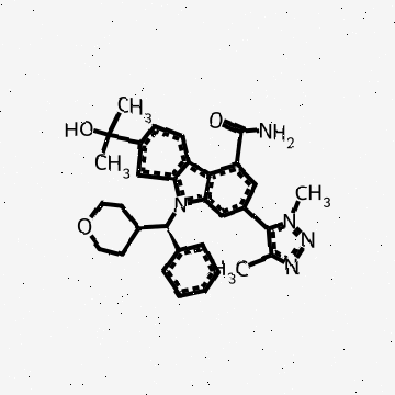 Cc1nnn(C)c1-c1cc(C(N)=O)c2c3ccc(C(C)(C)O)cc3n([C@@H](c3ccccc3)C3CCOCC3)c2c1